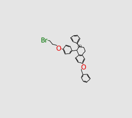 BrCCCOc1ccc(C2c3ccc(OCc4ccccc4)cc3CC[C@@H]2c2ccccc2)cc1